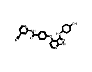 N#Cc1ccnc(NC(=O)c2ccc(Oc3ccnc4[nH]nc(NC5CCC(O)CC5)c34)cc2)c1